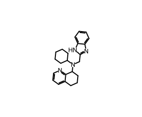 c1cnc2c(c1)CCCC2N(Cc1nc2ccccc2[nH]1)C1CCCCC1